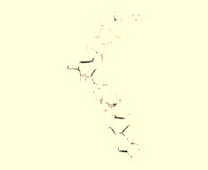 COC(=O)[C@H]1CC[C@H](C(F)(F)c2cc(Cl)nc(N3CCN(S(=O)(=O)c4ccc(N5CCCC5=O)cc4)CC3)c2)CC1